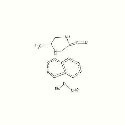 CC(C)(C)OC=O.C[C@@H]1CNC(=C=O)CN1.c1ccc2cnccc2c1